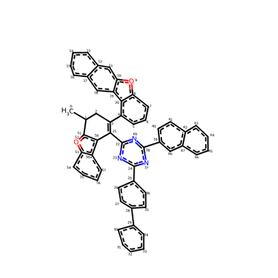 CC1CC(c2cccc3oc4cc5ccccc5cc4c23)=C(c2nc(-c3ccc(-c4ccccc4)cc3)nc(-c3ccc4ccccc4c3)n2)c2c1oc1ccccc21